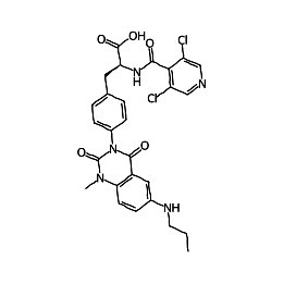 CCCNc1ccc2c(c1)c(=O)n(-c1ccc(C[C@H](NC(=O)c3c(Cl)cncc3Cl)C(=O)O)cc1)c(=O)n2C